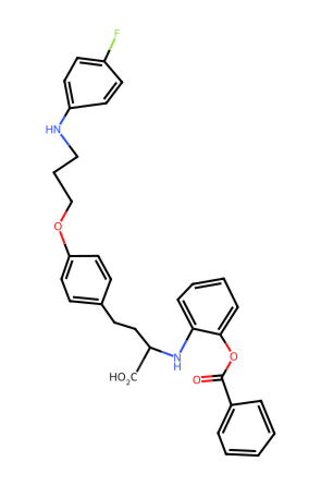 O=C(Oc1ccccc1NC(CCc1ccc(OCCCNc2ccc(F)cc2)cc1)C(=O)O)c1ccccc1